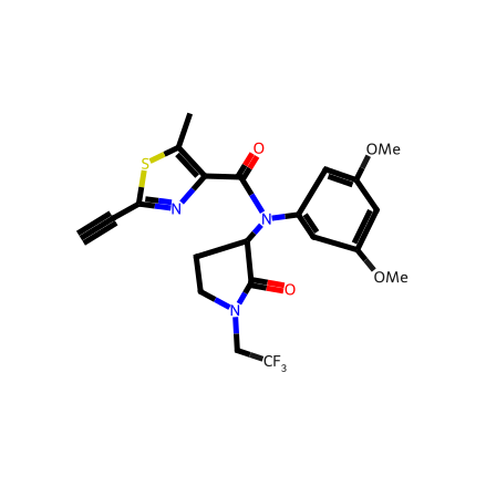 C#Cc1nc(C(=O)N(c2cc(OC)cc(OC)c2)C2CCN(CC(F)(F)F)C2=O)c(C)s1